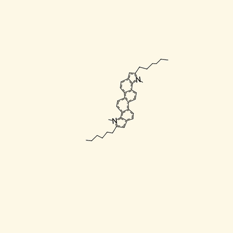 CCCCCCc1cc2ccc3c4ccc5c(ccc6cc(CCCCCC)n(C)c65)c4ccc3c2n1C